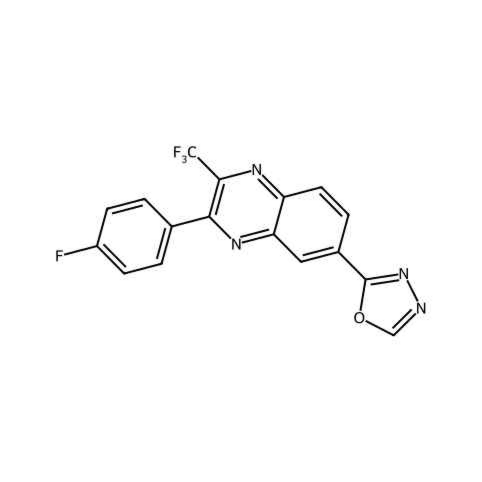 Fc1ccc(-c2nc3cc(-c4nnco4)ccc3nc2C(F)(F)F)cc1